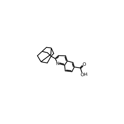 O=C(O)c1ccc2nc(C34CC5CC(CC(C5)C3)C4)ccc2c1